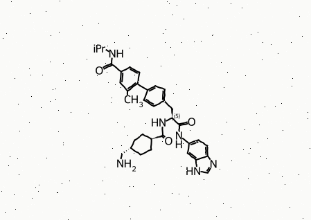 Cc1cc(C(=O)NC(C)C)ccc1-c1ccc(C[C@H](NC(=O)[C@H]2CC[C@H](CN)CC2)C(=O)Nc2ccc3nc[nH]c3c2)cc1